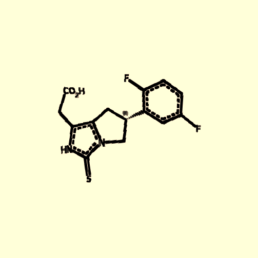 O=C(O)Cc1[nH]c(=S)n2c1C[C@H](c1cc(F)ccc1F)C2